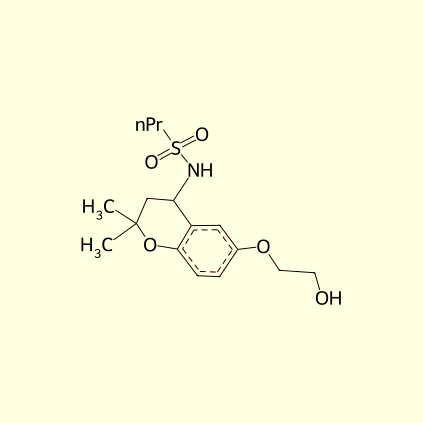 CCCS(=O)(=O)NC1CC(C)(C)Oc2ccc(OCCO)cc21